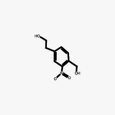 O=[N+]([O-])c1cc(CCO)ccc1CO